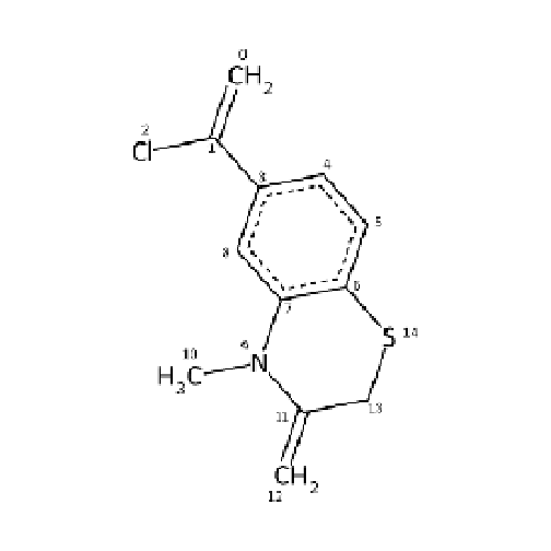 C=C(Cl)c1ccc2c(c1)N(C)C(=C)CS2